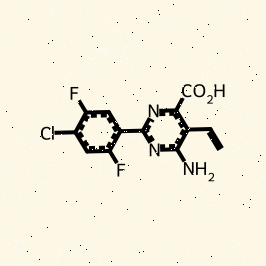 C=Cc1c(N)nc(-c2cc(F)c(Cl)cc2F)nc1C(=O)O